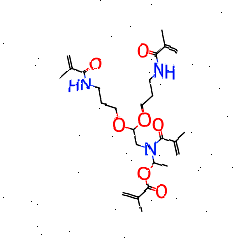 C=C(C)C(=O)NCCCOC(CN(C(=O)C(=C)C)C(C)OC(=O)C(=C)C)OCCCNC(=O)C(=C)C